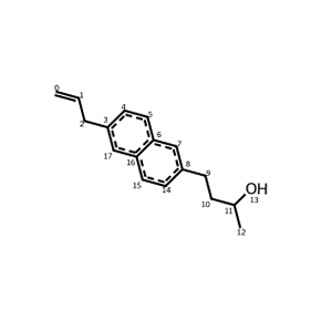 C=CCc1ccc2cc(CCC(C)O)ccc2c1